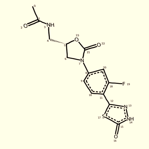 CC(=O)NC[C@H]1CN(c2ccc(-c3n[nH]c(=O)s3)c(F)c2)C(=O)O1